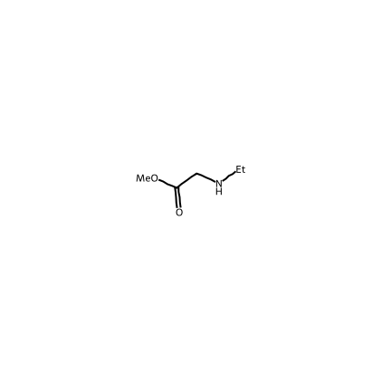 [CH2]CNCC(=O)OC